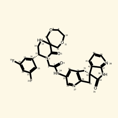 O=C(CN1C(=O)C2(COCCOC2)NC[C@H]1c1cc(F)cc(F)c1)Nc1cnc2c(c1)C[C@@]1(C2)C(=O)Nc2ncccc21